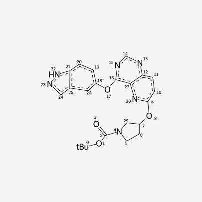 CC(C)(C)OC(=O)N1CCC(Oc2ccc3ncnc(Oc4ccc5[nH]ncc5c4)c3n2)C1